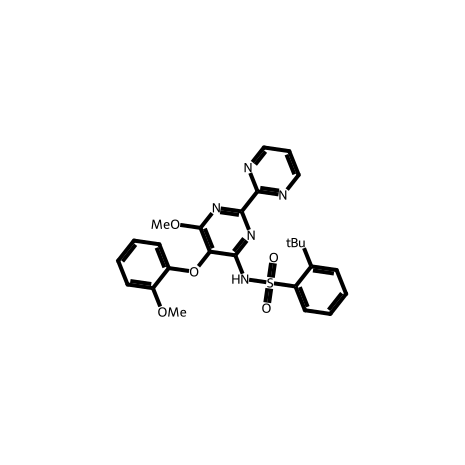 COc1ccccc1Oc1c(NS(=O)(=O)c2ccccc2C(C)(C)C)nc(-c2ncccn2)nc1OC